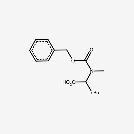 CCCCC(C(=O)O)N(C)C(=O)OCc1ccccc1